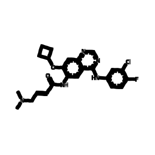 CN(C)C/C=C/C(=O)Nc1cc2c(Nc3ccc(F)c(Cl)c3)ncnc2cc1OC1CCC1